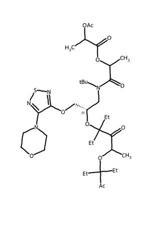 CCC(CC)(OC(C)C(=O)C(CC)(CC)O[C@H](COc1nsnc1N1CCOCC1)CN(C(=O)C(C)OC(=O)C(C)OC(C)=O)C(C)(C)C)C(C)=O